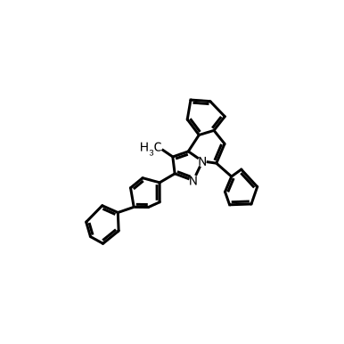 Cc1c(-c2ccc(-c3ccccc3)cc2)nn2c(-c3ccccc3)cc3ccccc3c12